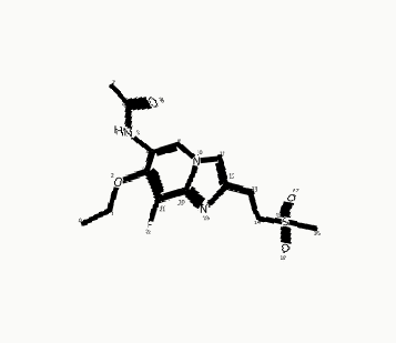 CCOc1c(NC(C)=O)cn2cc(CCS(C)(=O)=O)nc2c1F